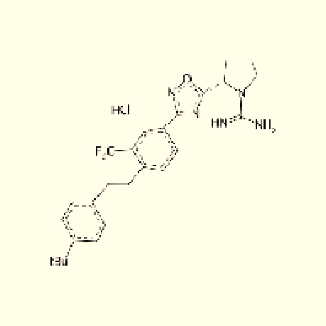 CC(C)(C)c1ccc(CCc2ccc(-c3noc([C@@H]4CCCN4C(=N)N)n3)cc2C(F)(F)F)cc1.Cl